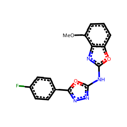 COc1cccc2oc(Nc3nnc(-c4ccc(F)cc4)o3)nc12